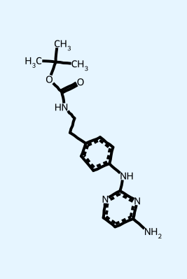 CC(C)(C)OC(=O)NCCc1ccc(Nc2nccc(N)n2)cc1